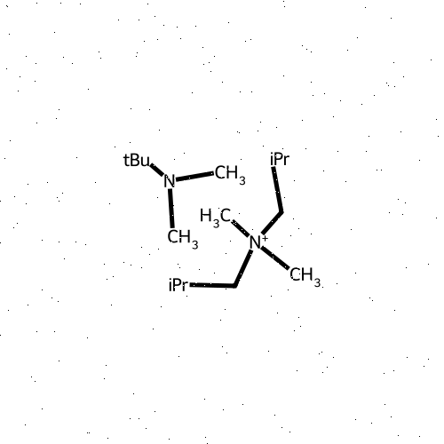 CC(C)C[N+](C)(C)CC(C)C.CN(C)C(C)(C)C